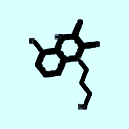 O=c1[nH]c2c(Cl)cccc2n(CCCO)c1=O